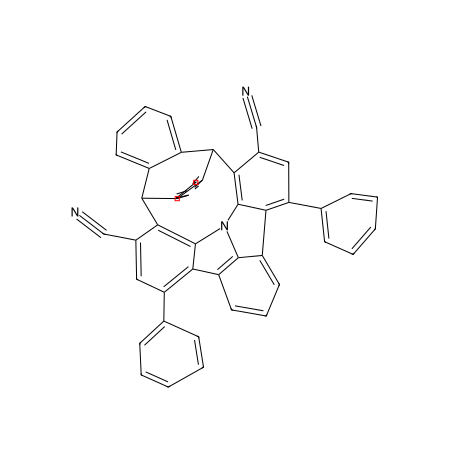 N#Cc1cc(-c2ccccc2)c2c3cccc4c5c(-c6ccccc6)cc(C#N)c6c5n(c2c1C1c2ccccc2C6c2ccccc21)c34